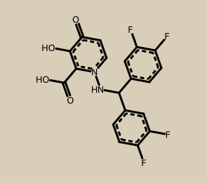 O=C(O)c1c(O)c(=O)ccn1NC(c1ccc(F)c(F)c1)c1ccc(F)c(F)c1